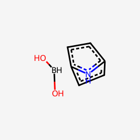 OBO.c1cc2ccc1[nH]2